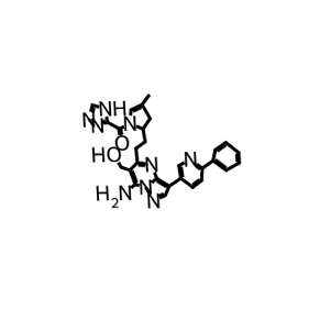 CC1=CN(C(=O)c2nnc[nH]2)C(CCc2nc3c(-c4ccc(-c5ccccc5)nc4)cnn3c(N)c2CO)C1